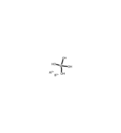 O[Si](O)(O)O.[Al+3].[B+3]